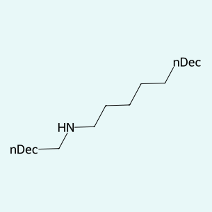 CCCCCCCCCCCCCCCNCCCCCCCCCCC